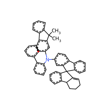 CC1(C)c2ccccc2-c2ccc(N(c3ccc4c(c3)C3(C5=CCCCC5c5ccccc53)c3ccccc3-4)c3ccccc3-c3ccccc3)cc21